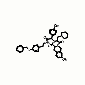 N#Cc1ccc(C(C(=O)NCCc2ccc(OCc3ccccc3)cc2)N2C(=O)C3Cc4ccc(O)cc4CN3C(=O)C2CC2CCCCC2)cc1